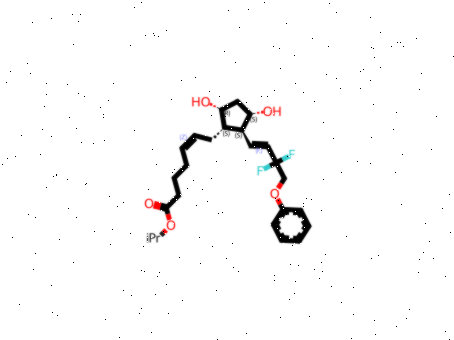 CC(C)OC(=O)CCC/C=C\C[C@H]1[C@H](/C=C/C(F)(F)COc2ccccc2)[C@@H](O)C[C@H]1O